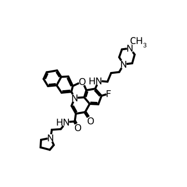 CN1CCN(CCCNc2c(F)cc3c(=O)c(C(=O)NCCN4CCCC4)cn4c3c2Oc2cc3ccccc3cc2-4)CC1